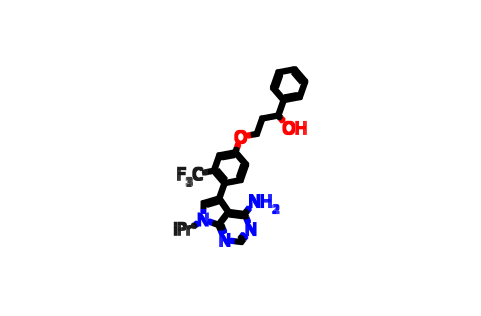 CC(C)n1cc(-c2ccc(OCCC(O)c3ccccc3)cc2C(F)(F)F)c2c(N)ncnc21